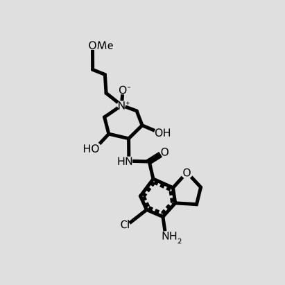 COCCC[N+]1([O-])CC(O)C(NC(=O)c2cc(Cl)c(N)c3c2OCC3)C(O)C1